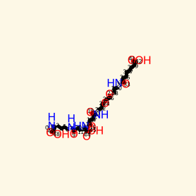 CN[C@@H](CCCCNC(=O)CC[C@H](NC(=O)CCC(=O)NCCCOCCOCCCNC(=O)CCCCCCC(=O)O)C(=O)O)C(=O)O